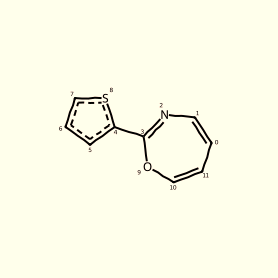 C1=CN=C(c2cccs2)OC=C1